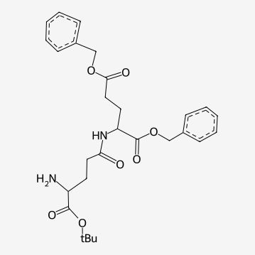 CC(C)(C)OC(=O)C(N)CCC(=O)NC(CCC(=O)OCc1ccccc1)C(=O)OCc1ccccc1